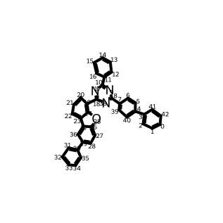 c1ccc(-c2ccc(-c3nc(-c4ccccc4)nc(-c4cccc5c4oc4ccc(-c6ccccc6)cc45)n3)cc2)cc1